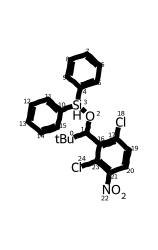 CC(C)(C)C(O[SiH](c1ccccc1)c1ccccc1)c1c(Cl)ccc([N+](=O)[O-])c1Cl